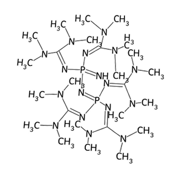 CN(C)C(=NP(=N)(N=C(N(C)C)N(C)C)N=P(N=C(N(C)C)N(C)C)(N=C(N(C)C)N(C)C)N=C(N(C)C)N(C)C)N(C)C